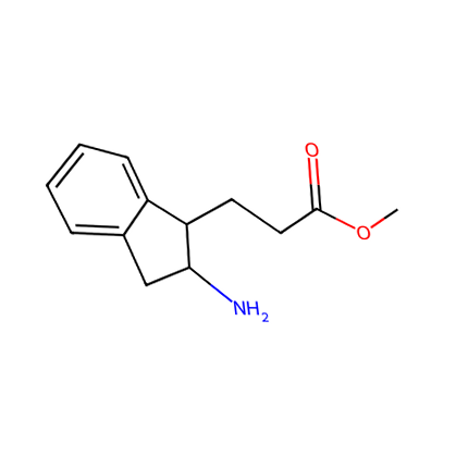 COC(=O)CCC1c2ccccc2CC1N